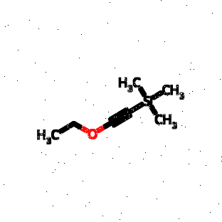 CCOC#C[Si](C)(C)C